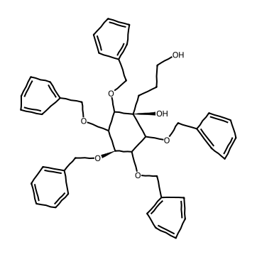 OCCC[C@]1(O)C(OCc2ccccc2)C(OCc2ccccc2)[C@@H](OCc2ccccc2)C(OCc2ccccc2)C1OCc1ccccc1